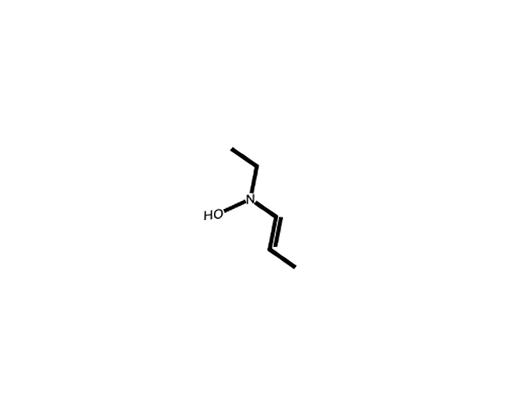 CC=CN(O)CC